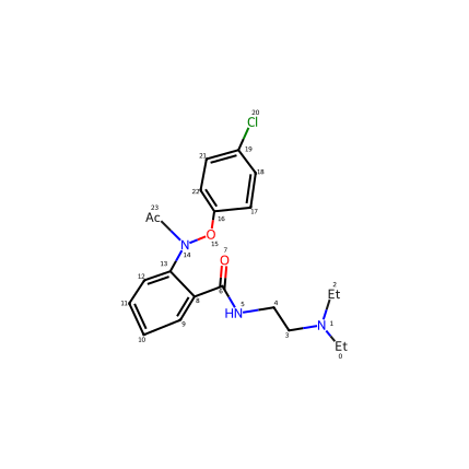 CCN(CC)CCNC(=O)c1ccccc1N(Oc1ccc(Cl)cc1)C(C)=O